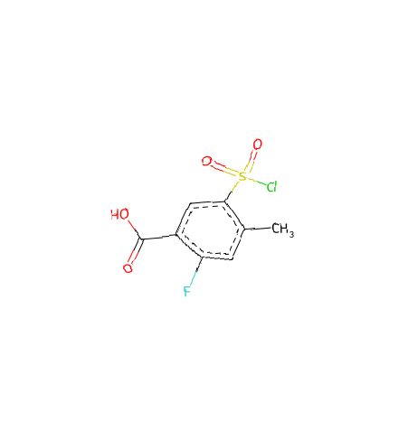 Cc1cc(F)c(C(=O)O)cc1S(=O)(=O)Cl